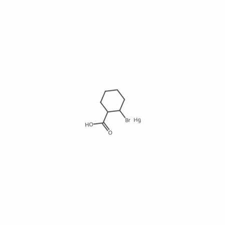 O=C(O)C1CCCCC1Br.[Hg]